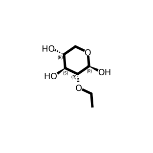 CCO[C@@H]1[C@@H](O)[C@H](O)CO[C@H]1O